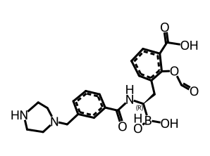 O=COc1c(C[C@H](NC(=O)c2cccc(CN3CCNCC3)c2)B(O)O)cccc1C(=O)O